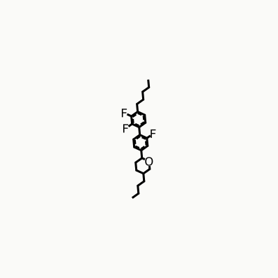 CCCCCc1ccc(-c2ccc(C3CCC(CCCC)CO3)cc2F)c(F)c1F